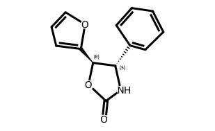 O=C1N[C@@H](c2ccccc2)[C@H](c2ccco2)O1